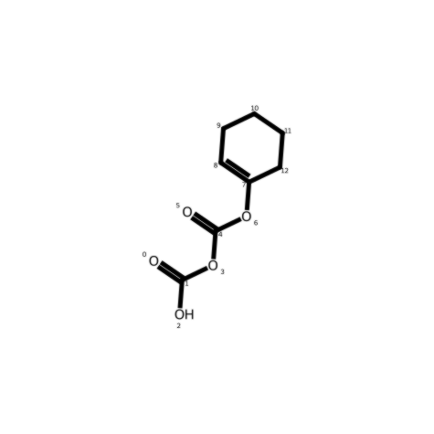 O=C(O)OC(=O)OC1=CCCCC1